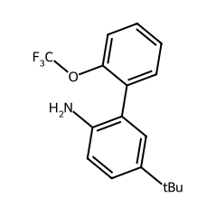 CC(C)(C)c1ccc(N)c(-c2ccccc2OC(F)(F)F)c1